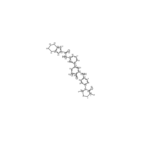 CN1CCN(C)C(c2ccc(Nc3nc(-c4cccc(NC(=O)c5cc6c(s5)CCCC6)n4)cn(C)c3=O)cc2)C1=O